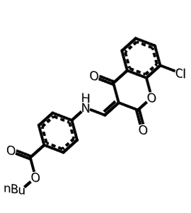 CCCCOC(=O)c1ccc(NC=C2C(=O)Oc3c(Cl)cccc3C2=O)cc1